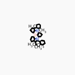 CC(C)(C)c1c(-c2ccccc2)n2c3c(cccc13)B1c3cccc4c3N(c3cccc-2c31)C1(C)CCCCC41C